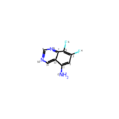 Nc1cc(F)c(F)c2ncncc12